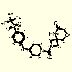 O=C1COCC2(CN(C(=O)N3CCC(Cc4ccc(S(=O)(=O)C(F)(F)F)cc4)CC3)C2)N1